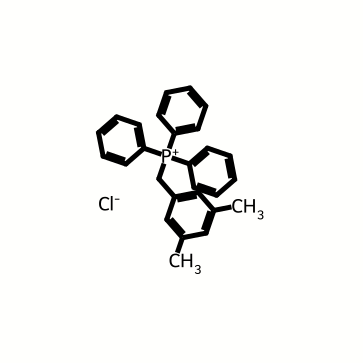 Cc1cc(C)cc(C[P+](c2ccccc2)(c2ccccc2)c2ccccc2)c1.[Cl-]